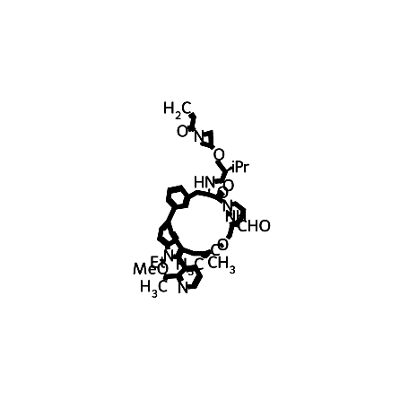 C=CC(=O)N1CC(OC[C@H](C(=O)N[C@H]2Cc3cccc(c3)-c3ccc4c(c3)c(c(-c3cccnc3[C@H](C)OC)n4CC)CC(C)(C)COC[C@@]3(C=O)CCCN(N3)C2=O)C(C)C)C1